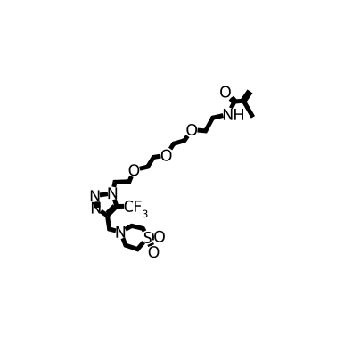 C=C(C)C(=O)NCCOCCOCCOCCn1nnc(CN2CCS(=O)(=O)CC2)c1C(F)(F)F